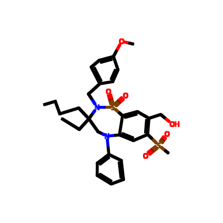 CCCCC1(CC)CN(c2ccccc2)c2cc(S(C)(=O)=O)c(CO)cc2S(=O)(=O)N1Cc1ccc(OC)cc1